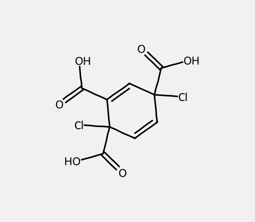 O=C(O)C1=CC(Cl)(C(=O)O)C=CC1(Cl)C(=O)O